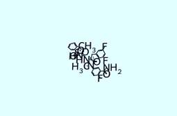 Cc1ccccc1S(=O)(=O)NC(=O)N[C@@H](Cc1cc(F)cc(F)c1)C(=O)N(C)c1ccc(F)c(C(N)=O)c1